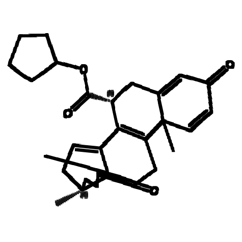 CC12C=CC(=O)C=C1C[C@@H](C(=O)OC1CCCC1)C1=C2CCC23C(=O)CC[C@]2(C)CC=C13